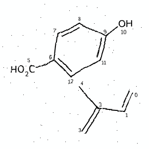 C=CC(=C)C.O=C(O)c1ccc(O)cc1